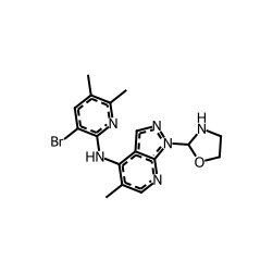 Cc1cc(Br)c(Nc2c(C)cnc3c2cnn3C2NCCO2)nc1C